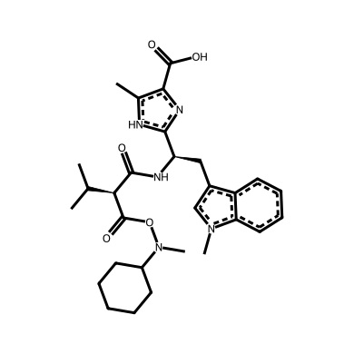 Cc1[nH]c([C@@H](Cc2cn(C)c3ccccc23)NC(=O)[C@@H](C(=O)ON(C)C2CCCCC2)C(C)C)nc1C(=O)O